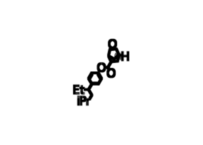 CCC(CC(C)C)c1ccc(OC(=O)C2C[C@@H]3CC2C2OC23)cc1